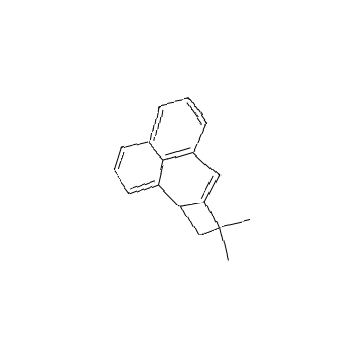 CC1(C)CC2C1=Cc1cccc3cccc2c13